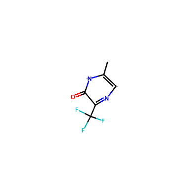 CC1=[C]N=C(C(F)(F)F)C(=O)[N]1